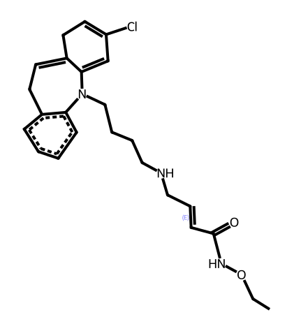 CCONC(=O)/C=C/CNCCCCN1C2=CC(Cl)=CCC2=CCc2ccccc21